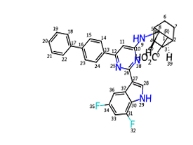 O=C(O)[C@@H]1C2CCC(CC2)[C@H]1Nc1cc(-c2ccc(-c3ccccc3)cc2)nc(-c2c[nH]c3c(F)cc(F)cc23)n1